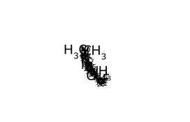 CN(C)[C@@H]1CCN(c2nc3ccc(NC(=O)/C=C/c4cccc(F)c4)cc3s2)C1